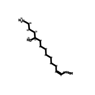 CCCCCCC/C=C\CCCCCCCC(O)CCCN